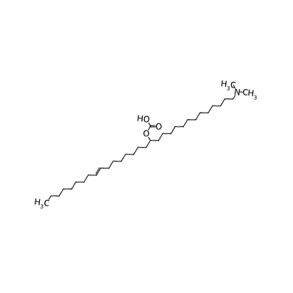 CCCCCCCCC=CCCCCCCCC(CCCCCCCCCCCCCN(C)C)OC(=O)O